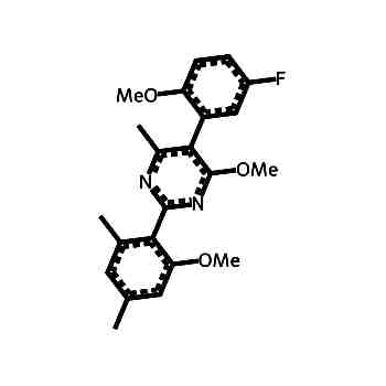 COc1ccc(F)cc1-c1c(C)nc(-c2c(C)cc(C)cc2OC)nc1OC